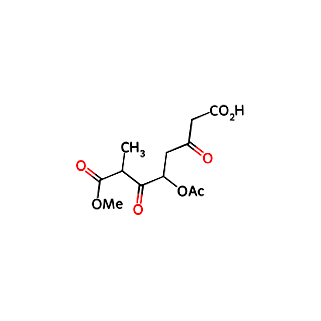 COC(=O)C(C)C(=O)C(CC(=O)CC(=O)O)OC(C)=O